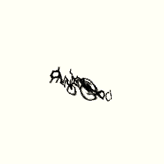 CCCCN1CCN(S(=O)(=O)c2ccc(Cl)cc2)CC1C(=O)N1CCN(c2cc(C)ccc2C)CC1